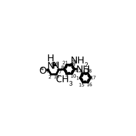 CC1CC(=O)NN=C1c1ccc(Nc2ccccc2)c(N)c1